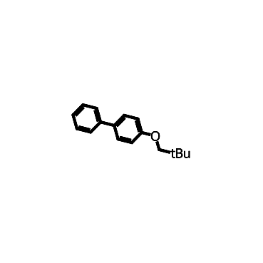 CC(C)(C)COc1ccc(-c2ccccc2)cc1